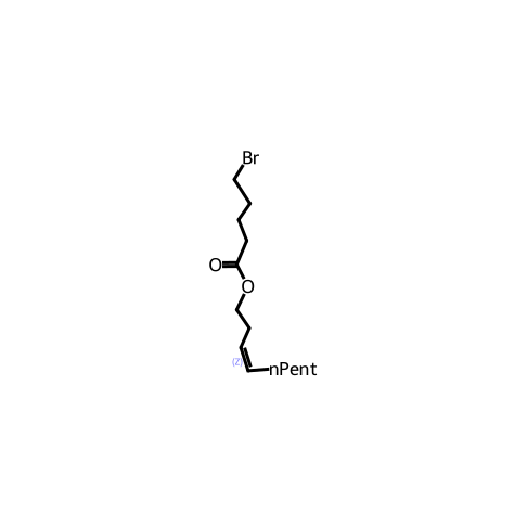 CCCCC/C=C\CCOC(=O)CCCCBr